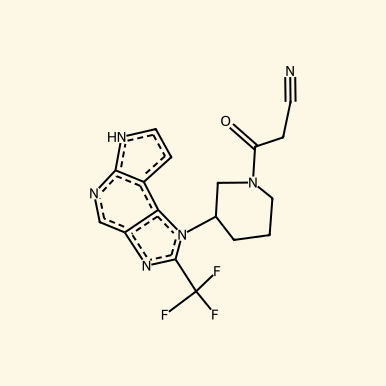 N#CCC(=O)N1CCCC(n2c(C(F)(F)F)nc3cnc4[nH]ccc4c32)C1